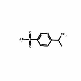 CC(N)c1ccc(S(N)(=O)=O)cn1